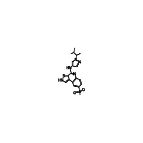 CC(C)C(C)n1cc(Nc2nc3ccc(S(C)(=O)=O)cc3c3c[nH]nc23)cn1